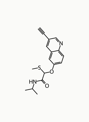 C#Cc1cnc2ccc(OC(SC)C(=O)NC(C)C)cc2c1